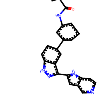 CC(C)C(=O)Nc1cccc(-c2ccc3[nH]nc(-c4cc5cnccc5[nH]4)c3c2)c1